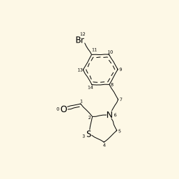 O=CC1SCCN1Cc1ccc(Br)cc1